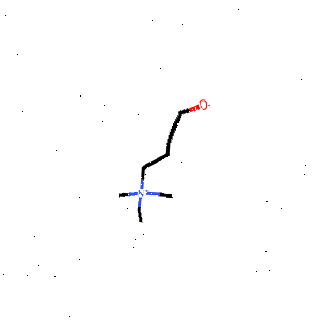 C[N+](C)(C)CCC[O]